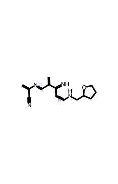 C=C(C#N)/N=C/C(=C)C(=N)/C=C\NCC1CCCO1